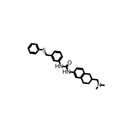 CN(C)CC1CCc2cc(NC(=O)Nc3cccc(CSc4ccccc4)c3)ccc2C1